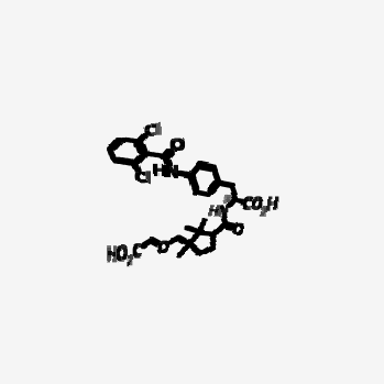 CC1(COCC(=O)O)CCC(C(=O)N[C@@H](Cc2ccc(NC(=O)c3c(Cl)cccc3Cl)cc2)C(=O)O)C1(C)C